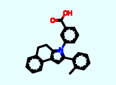 Cc1ccccc1-c1cc2c(n1-c1cccc(C(=O)O)c1)CCc1ccccc1-2